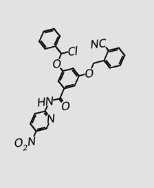 N#Cc1ccccc1COc1cc(OC(Cl)c2ccccc2)cc(C(=O)Nc2ccc([N+](=O)[O-])cn2)c1